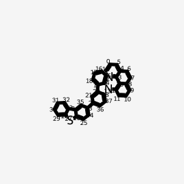 c1cnc2c(c1)ccc1cccc(-n3c4ccccc4c4cc(-c5ccc6sc7ccccc7c6c5)ccc43)c12